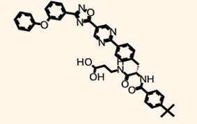 CC(C)(C)c1ccc(C(=O)N[C@@H](Cc2ccc(-c3ncc(-c4nc(-c5cccc(Oc6ccccc6)c5)no4)cn3)cc2)C(=O)NCCC(O)O)cc1